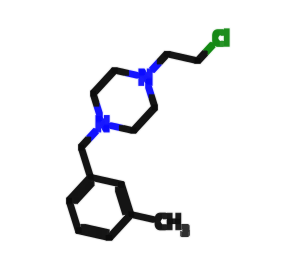 Cc1cccc(CN2CCN(CCCl)CC2)c1